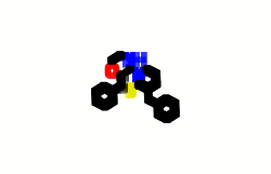 c1ccc(Cc2cccnc2S[C@@H](c2ccccc2)[C@@H]2CNCCO2)cc1